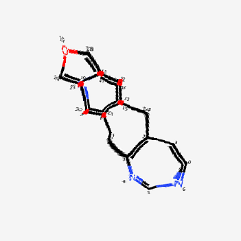 C1=CC2=C(N=CN=1)C1c3cnccc3C2c2cc3cocc3cc21